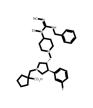 CCN(/C(=N\C#N)NCc1ccccc1)C1CCN(C[C@H]2CN(CC3(C(=O)O)CCCC3)C[C@@H]2c2cccc(F)c2)CC1